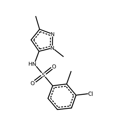 Cc1cc(NS(=O)(=O)c2cccc(Cl)c2C)n(C)n1